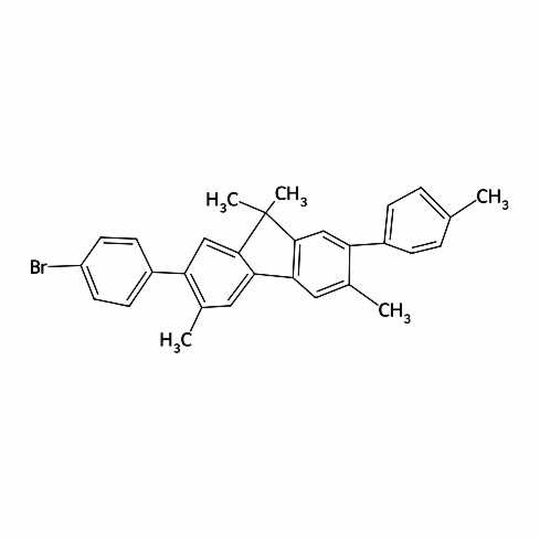 Cc1ccc(-c2cc3c(cc2C)-c2cc(C)c(-c4ccc(Br)cc4)cc2C3(C)C)cc1